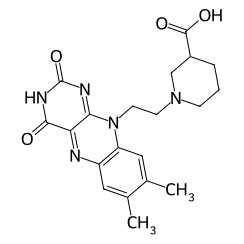 Cc1cc2nc3c(=O)[nH]c(=O)nc-3n(CCN3CCCC(C(=O)O)C3)c2cc1C